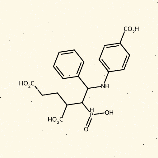 O=C(O)CCC(C(=O)O)C(C(Nc1ccc(C(=O)O)cc1)c1ccccc1)[PH](=O)O